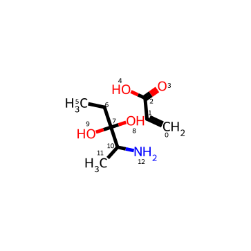 C=CC(=O)O.CCC(O)(O)C(C)N